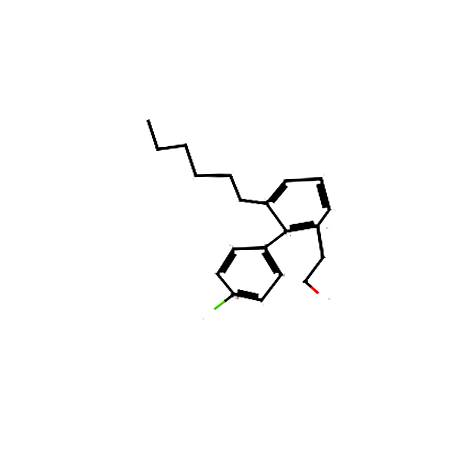 CCCCCCc1cccc(CCO)c1-c1ccc(F)cc1